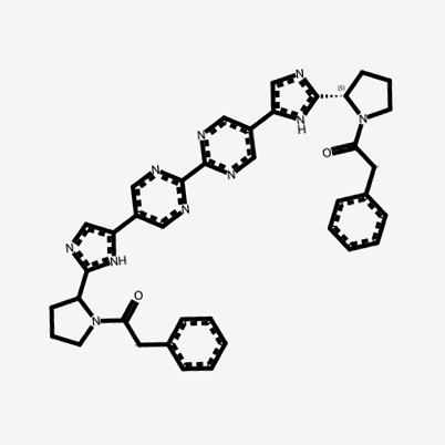 O=C([CH]c1ccccc1)N1CCCC1c1ncc(-c2cnc(-c3ncc(-c4cnc([C@@H]5CCCN5C(=O)[CH]c5ccccc5)[nH]4)cn3)nc2)[nH]1